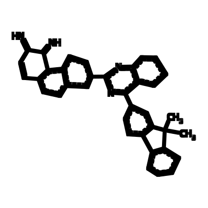 CC1(C)c2ccccc2-c2ccc(-c3nc(-c4ccc5c6c(ccc5c4)C=CC(=N)C6=N)nc4ccccc34)cc21